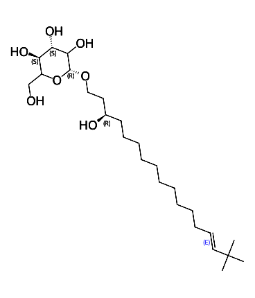 CC(C)(C)/C=C/CCCCCCCCCC[C@@H](O)CCO[C@@H]1OC(CO)[C@@H](O)[C@H](O)C1O